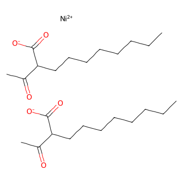 CCCCCCCCC(C(C)=O)C(=O)[O-].CCCCCCCCC(C(C)=O)C(=O)[O-].[Ni+2]